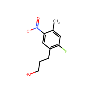 Cc1cc(F)c(CCCO)cc1[N+](=O)[O-]